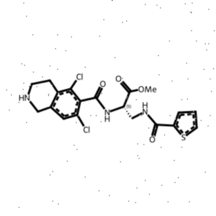 COC(=O)[C@H](CNC(=O)c1cccs1)NC(=O)c1c(Cl)cc2c(c1Cl)CCNC2